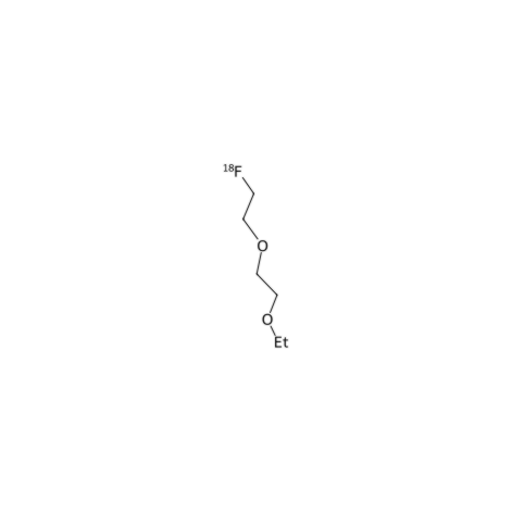 CCOCCOCC[18F]